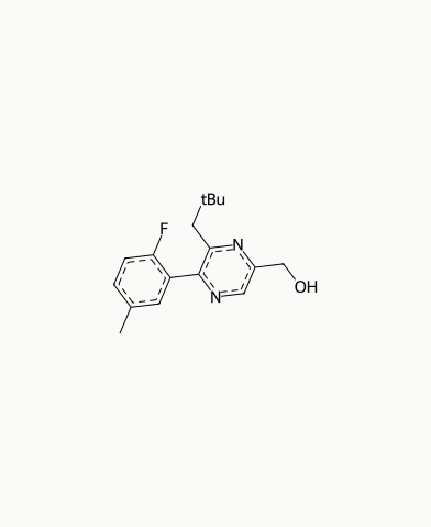 Cc1ccc(F)c(-c2ncc(CO)nc2CC(C)(C)C)c1